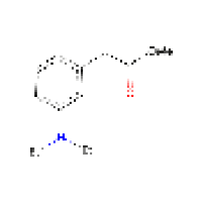 CCN(CC)c1cccc(CC(=O)OC)c1